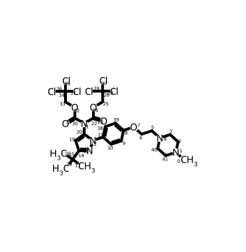 CN1CCN(CCOc2ccc(-n3nc(C(C)(C)C)cc3N(C(=O)OCC(Cl)(Cl)Cl)C(=O)OCC(Cl)(Cl)Cl)cc2)CC1